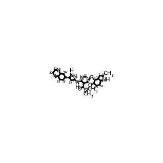 Cc1cc2c(F)c(Oc3ncnc(Nc4cc(-c5ccc6nccnc6c5)[nH]n4)c3C(=O)N(C)C)ccc2[nH]1